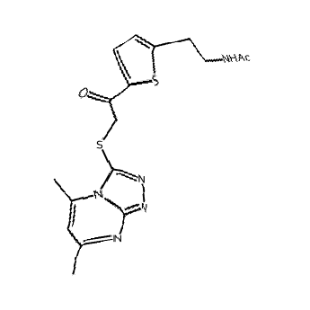 CC(=O)NCCc1ccc(C(=O)CSc2nnc3nc(C)cc(C)n23)s1